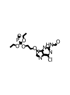 CCOC(OCC)(OCCOn1cnc2c(Cl)nc(NC=O)nc21)P=O